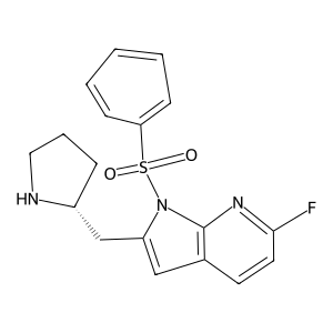 O=S(=O)(c1ccccc1)n1c(C[C@H]2CCCN2)cc2ccc(F)nc21